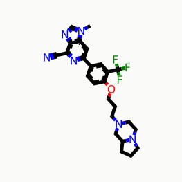 Cn1cnc2c(C#N)nc(-c3ccc(OCCCN4CCN5CCCC5C4)c(C(F)(F)F)c3)cc21